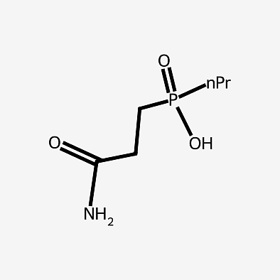 CCCP(=O)(O)CCC(N)=O